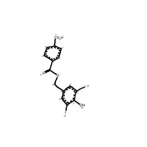 O=C(O)c1ccc(C(=O)OCc2cc(I)c(O)c(I)c2)cc1